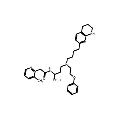 Cc1cccnc1CC(=O)N[C@@H](CCN(CCCCc1ccc2c(n1)NCCC2)CCOc1ccccc1)C(=O)O